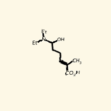 CCN(CC)C(O)CCC=C(C)C(=O)O